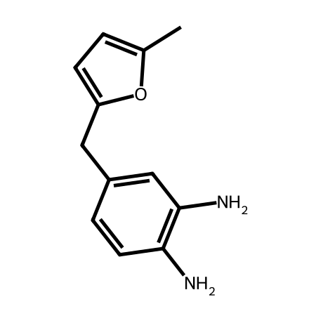 Cc1ccc(Cc2ccc(N)c(N)c2)o1